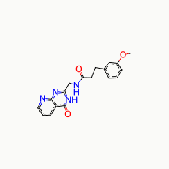 COc1cccc(CCC(=O)NCc2nc3ncccc3c(=O)[nH]2)c1